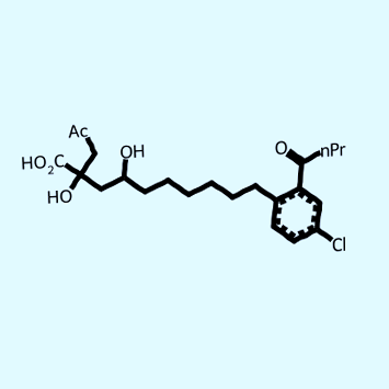 CCCC(=O)c1cc(Cl)ccc1CCCCCCC(O)CC(O)(CC(C)=O)C(=O)O